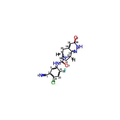 N#Cc1cc(NC(=O)N2[C@H]3CC[C@@H]2c2n[nH]c(=O)cc2C3)c(F)cc1Cl